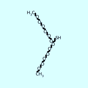 CCCOCCOCCOCCOCCOCCO[C](CCS)OCCOCCOCCOCCOCCOCCC